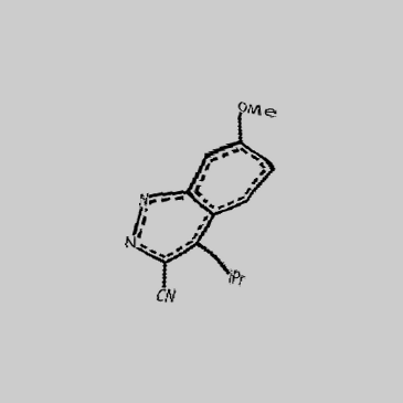 COc1ccc2c(C(C)C)c(C#N)nnc2c1